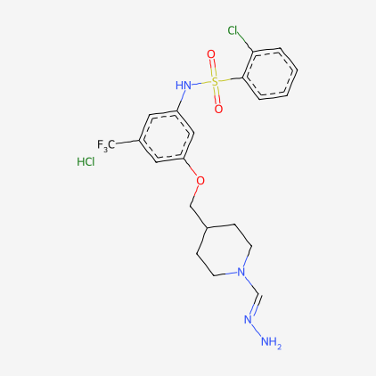 Cl.NN=CN1CCC(COc2cc(NS(=O)(=O)c3ccccc3Cl)cc(C(F)(F)F)c2)CC1